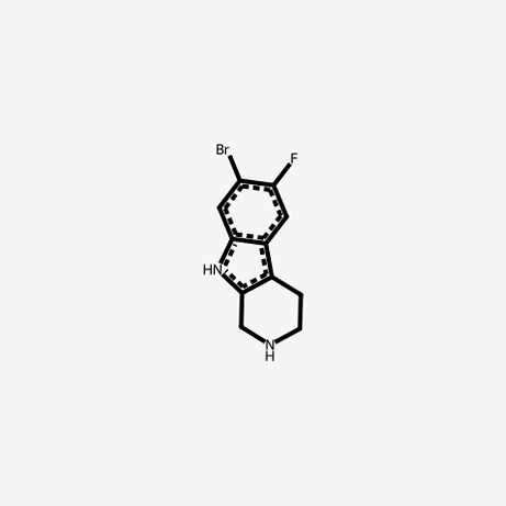 Fc1cc2c3c([nH]c2cc1Br)CNCC3